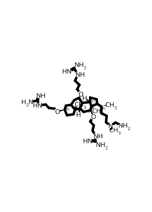 C[C@H](CCCN(C)CN)C1CC[C@H]2C3[C@H](OCCCNC(=N)N)CC4C[C@H](OCCCNC(=N)N)CCC4(C)[C@H]3C[C@H](OCCCNC(=N)N)C12C